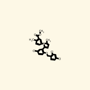 COC(=O)c1cc(-n2c(C)ccc2-c2cc(Cl)ccc2OCc2ccc(Cl)cc2Cl)ccc1C